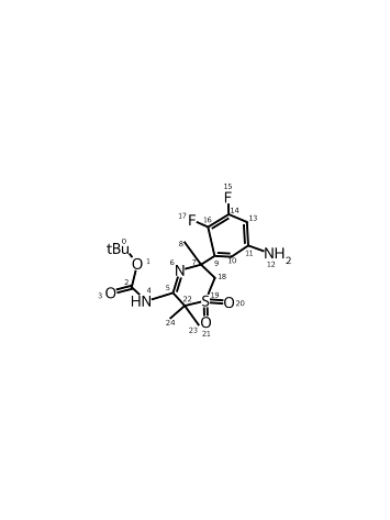 CC(C)(C)OC(=O)NC1=NC(C)(c2cc(N)cc(F)c2F)CS(=O)(=O)C1(C)C